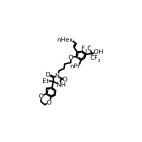 CCCCCCC=Cc1cc(C(O)(C(F)(F)F)C(F)(F)F)cc(CCC)c1OCCCCN1C(=O)NC(CC)(c2ccc3c(c2)OCCO3)C1=O